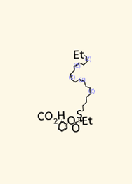 CC/C=C\C/C=C\C/C=C\C/C=C\C/C=C\CCCCS[C@@H](CC)C(=O)Oc1ccccc1C(=O)O